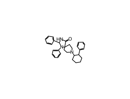 O=C1NC(c2ccccc2)N(c2ccccc2)C12CCN(C1CCCCC1c1ccccc1)CC2